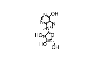 C[N+]1([C@@H]2O[C@H](CO)[C@@H](O)[C@H]2O)C=Nc2c(O)ncnc21